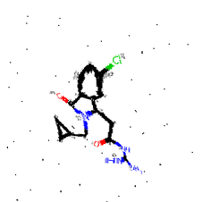 N=C(N)NC(=O)CC1c2cc(Cl)ccc2C(=O)N1CC1CC1